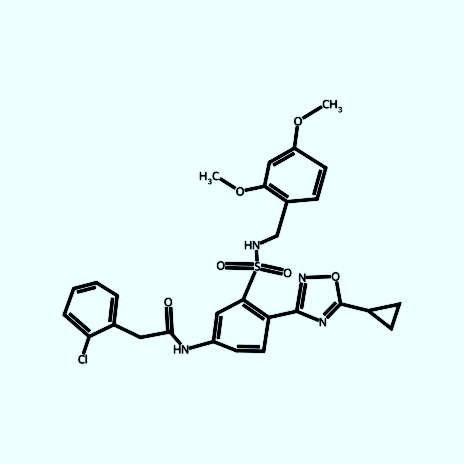 COc1ccc(CNS(=O)(=O)c2cc(NC(=O)Cc3ccccc3Cl)ccc2-c2noc(C3CC3)n2)c(OC)c1